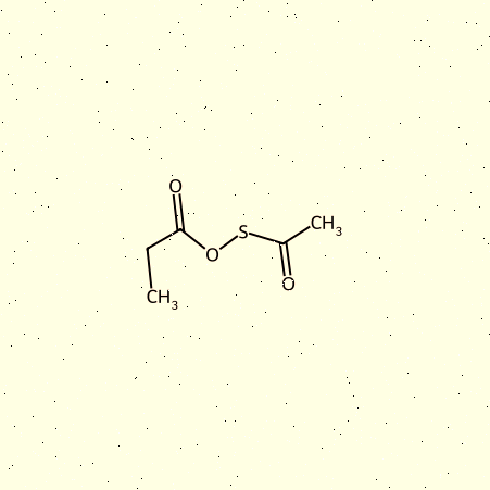 CCC(=O)OSC(C)=O